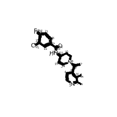 Cc1nccc(C(C)N2CCC(NC(=O)c3ccc(F)c(Cl)c3)CC2)c1C